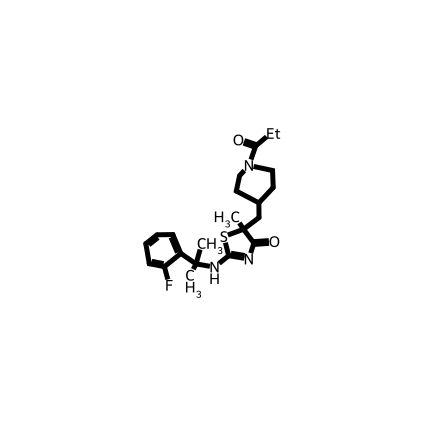 CCC(=O)N1CCC(CC2(C)SC(NC(C)(C)c3ccccc3F)=NC2=O)CC1